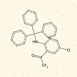 O=C(c1cc(Cl)cnc1NC(c1ccccc1)(c1ccccc1)c1ccccc1)C(F)(F)F